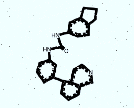 O=C(Nc1cccc(-c2cccc3cnccc23)c1)Nc1ccc2c(c1)CCC2